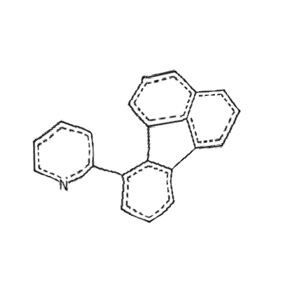 c1ccc(-c2cccc3c2-c2cccc4cccc-3c24)nc1